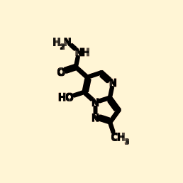 Cc1cc2ncc(C(=O)NN)c(O)n2n1